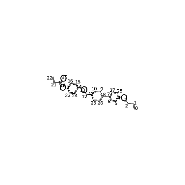 C=CCOc1ccc(-c2ccc(COc3ccc(OC(=O)C=C)cc3)cc2)cc1